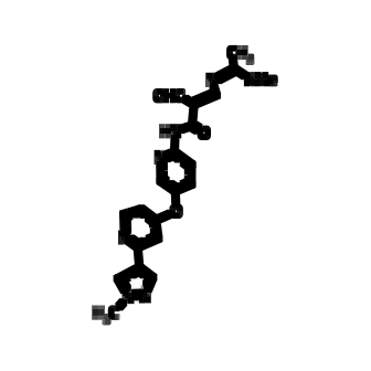 CN/C(C)=N\C=C(/C=O)C(=O)Nc1ccc(Oc2ccnc(-c3cnn(C)c3)c2)cn1